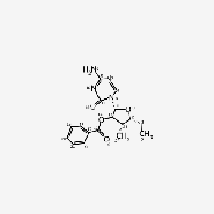 CC[C@H]1O[C@@H](n2cnc(N)nc2=O)C(OC(=O)c2ccccc2)[C@H]1C